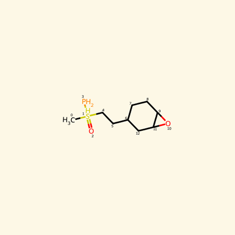 C[SH](=O)(P)CCC1CCC2OC2C1